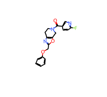 O=C(c1ccc(F)nc1)N1CCc2nc(COc3ccccc3)oc2C1